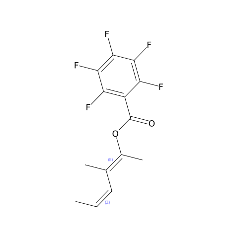 C/C=C\C(C)=C(/C)OC(=O)c1c(F)c(F)c(F)c(F)c1F